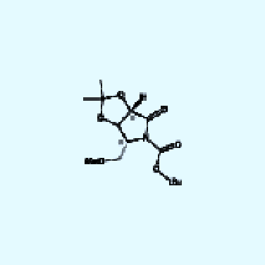 COC[C@@H]1C2OC(C)(C)O[C@@H]2C(=O)N1C(=O)OC(C)(C)C